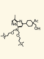 CC(=O)C1(CO)CCC(c2cc(N(COCC[Si](C)(C)C)COCC[Si](C)(C)C)n3ncc(I)c3n2)CC1